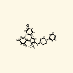 Cc1c(CN2CCN(c3ccccn3)CC2)cc(-c2ccc(Cl)cc2)n1-c1ccc(F)cc1F